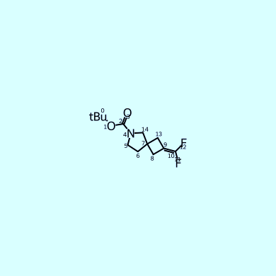 CC(C)(C)OC(=O)N1CCC2(CC(=C(F)F)C2)C1